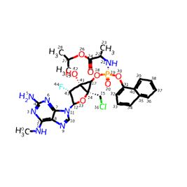 CNc1nc(N)nc2c1ncn2[C@@H]1O[C@]2(CCl)C(O[P@@](=O)(N[C@H](C)C(=O)OC(C)C)Oc3cccc4ccccc34)[C@]2(O)[C@H]1F